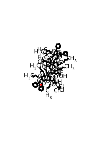 CCCCOCC1O[C@@H](OC2C(COCCCC)[C@@H](O[C@@H]3OC(COCCCC)[C@@H](O[C@@H]4OC(COCCCC)[C@H](OCCCC)C(OC(=O)c5ccccc5)[C@@H]4OC(=O)c4ccccc4)C(OCCCC)[C@@H]3NC(=O)OCC(Cl)(Cl)Cl)C(OCCCC)[C@@H]2[C@H](O)F)[C@@H](NC(=O)OCC(Cl)(Cl)Cl)C(OCCCC)[C@@H]1O[C@@H]1OC(COCCCC)[C@H](OCCCC)C(OC(=O)c2ccccc2)[C@@H]1OC(=O)c1ccccc1